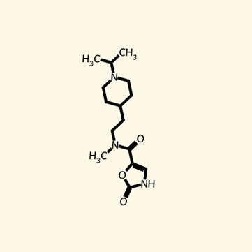 CC(C)N1CCC(CCN(C)C(=O)c2c[nH]c(=O)o2)CC1